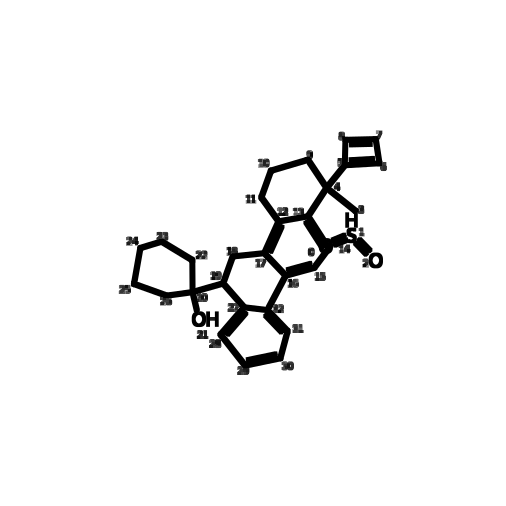 O=[SH](=O)CC1(C2=CC=C2)CCCc2c1ccc1c2CC(C2(O)CCCCC2)c2ccccc2-1